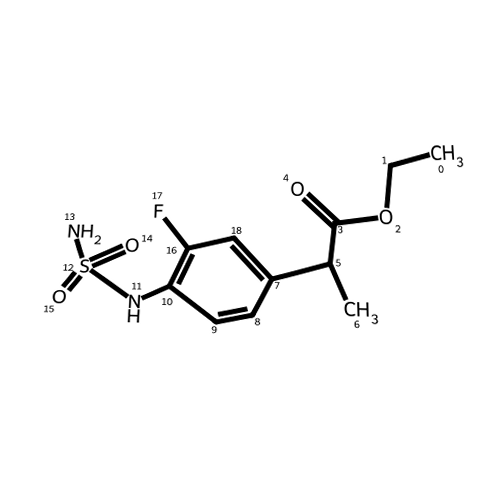 CCOC(=O)C(C)c1ccc(NS(N)(=O)=O)c(F)c1